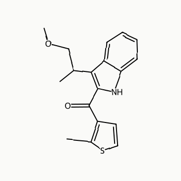 COCC(C)c1c(C(=O)c2ccsc2C)[nH]c2ccccc12